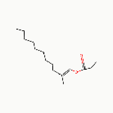 CCCCCCCCCC(C)=COC(=O)CC